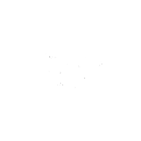 COC(=O)c1cc(CBr)ccn1